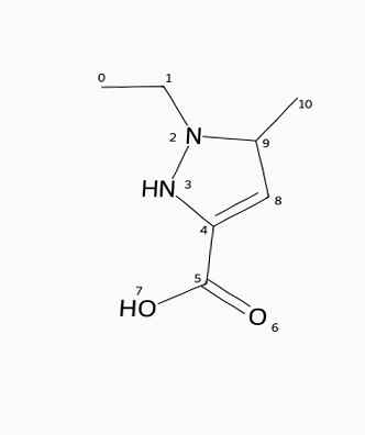 CCN1NC(C(=O)O)=CC1C